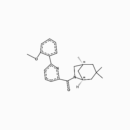 COc1ccccc1-c1cccc(C(=O)N2C[C@]3(C)C[C@H]2CC(C)(C)C3)n1